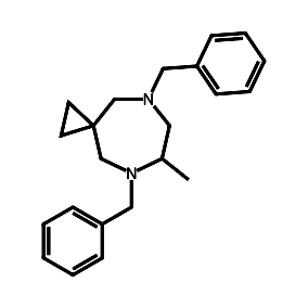 CC1CN(Cc2ccccc2)CC2(CC2)CN1Cc1ccccc1